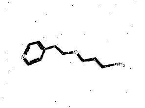 NCCCOCCc1ccncc1